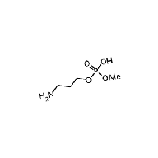 COP(=O)(O)OCCCN